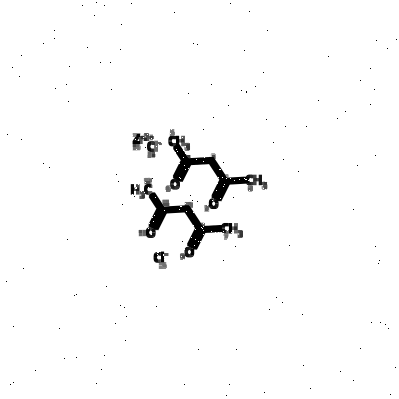 CC(=O)CC(C)=O.CC(=O)CC(C)=O.[Cl-].[Cl-].[Zr+2]